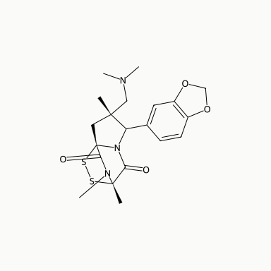 CN(C)C[C@@]1(C)C[C@@]23SS[C@@](C)(C(=O)N2C1c1ccc2c(c1)OCO2)N(C)C3=O